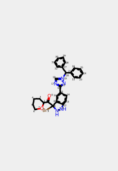 O=C(C1CCCCO1)C1(Br)NNc2ccc(-c3ncn(C(c4ccccc4)c4ccccc4)n3)cc21